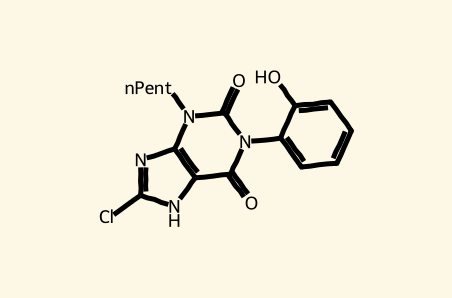 CCCCCn1c(=O)n(-c2ccccc2O)c(=O)c2[nH]c(Cl)nc21